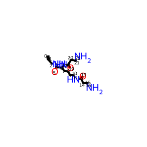 C#CCNC(=O)C(CCCCNC(=O)CCN)NC(=O)CCN